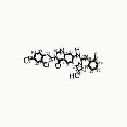 O=c1c2ccc(N/C(=N/c3ccccc3F)N3CC(O)C3)cc2ncn1CCc1ccc(Cl)cc1Cl